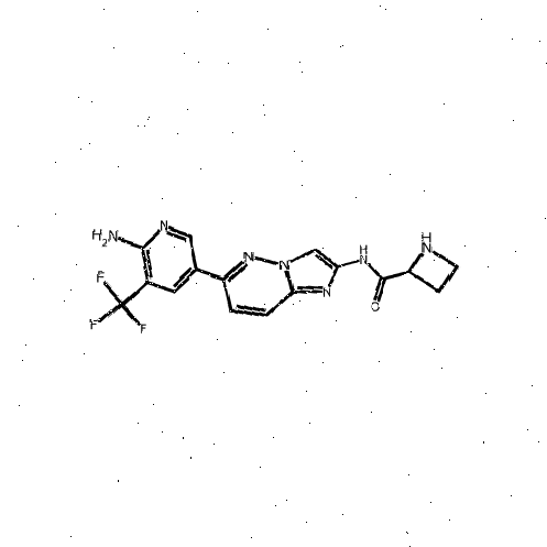 Nc1ncc(-c2ccc3nc(NC(=O)C4CCN4)cn3n2)cc1C(F)(F)F